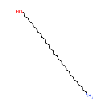 NCCCCCCCCCCCCCCCCCCCCCCCCCCCCCCCO